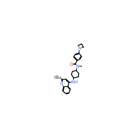 CN(C(=O)c1ccc(N2CCC2)cc1)C1CCC(Nc2cc(C(C)(C)C)nc3ccccc23)CC1